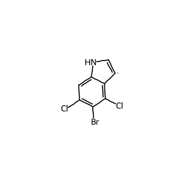 Clc1cc2[nH]c[c]c2c(Cl)c1Br